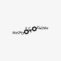 COCOc1ccc(C(C)(c2ccc(OCOC)cc2)C(F)(F)F)cc1